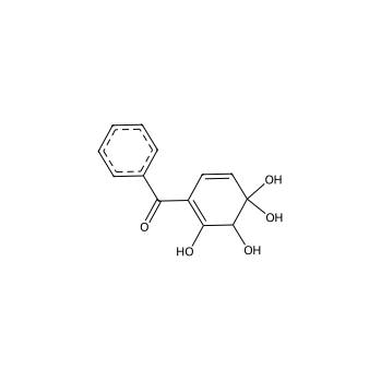 O=C(C1=C(O)C(O)C(O)(O)C=C1)c1ccccc1